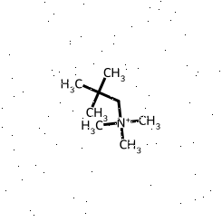 CC(C)(C)C[N+](C)(C)C